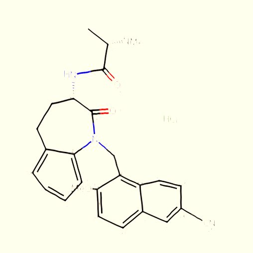 CN[C@@H](C)C(=O)N[C@H]1CCc2ccccc2N(Cc2c(OC)ccc3cc(C#N)ccc23)C1=O.Cl